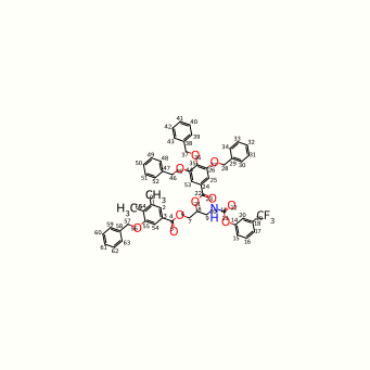 Cc1cc(C(=O)OCC(CNC(=O)Oc2cccc(C(F)(F)F)c2)OC(=O)c2cc(OCc3ccccc3)c(OCc3ccccc3)c(OCc3ccccc3)c2)cc(OCc2ccccc2)c1C